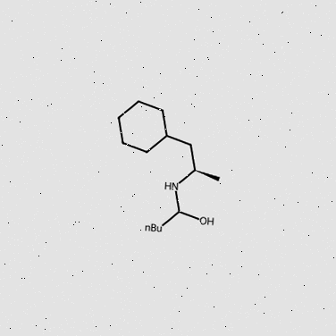 CCCCC(O)N[C@H](C)CC1CCCCC1